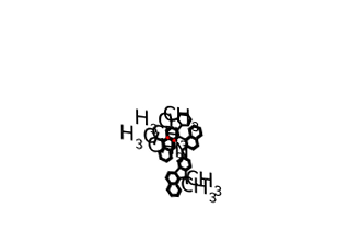 CC(C)(C)c1ccc(N(c2ccc3c(c2)-c2ccc4ccccc4c2C3(C)C)c2ccc3ccccc3c2-c2cccc3c2C2C=CC=CC2C3(C)C)c2ccccc12